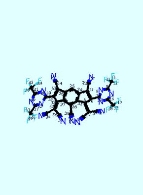 N#CC(C#N)=C1C(c2nc(C(F)(F)F)nc(C(F)(F)F)n2)=C(C#N)c2cc3c(c(C#N)c21)C(=C(C#N)C#N)C(c1nc(C(F)(F)F)nc(C(F)(F)F)n1)=C3C#N